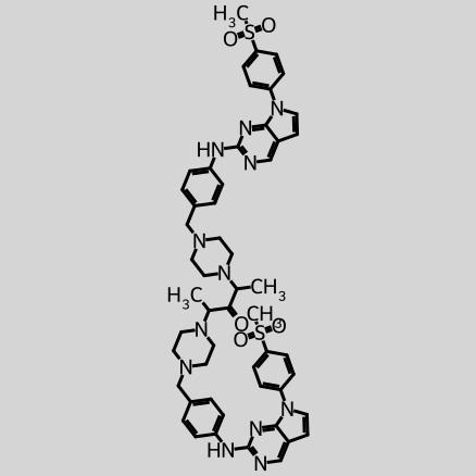 CC(C(=O)C(C)N1CCN(Cc2ccc(Nc3ncc4ccn(-c5ccc(S(C)(=O)=O)cc5)c4n3)cc2)CC1)N1CCN(Cc2ccc(Nc3ncc4ccn(-c5ccc(S(C)(=O)=O)cc5)c4n3)cc2)CC1